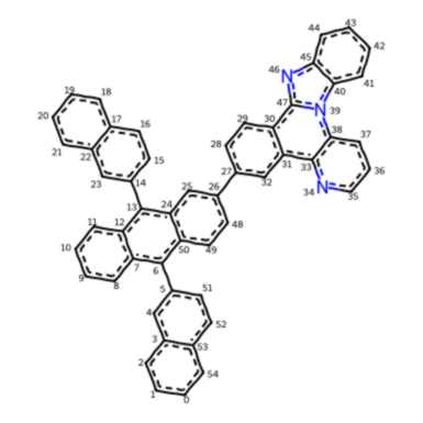 c1ccc2cc(-c3c4ccccc4c(-c4ccc5ccccc5c4)c4cc(-c5ccc6c(c5)c5ncccc5n5c7ccccc7nc65)ccc34)ccc2c1